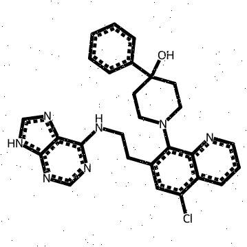 OC1(c2ccccc2)CCN(c2c(CCNc3ncnc4[nH]cnc34)cc(Cl)c3cccnc23)CC1